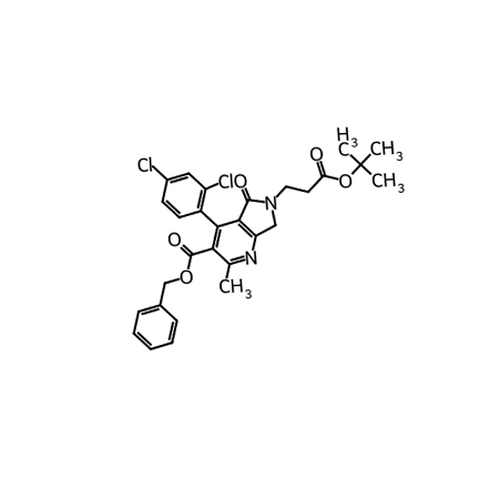 Cc1nc2c(c(-c3ccc(Cl)cc3Cl)c1C(=O)OCc1ccccc1)C(=O)N(CCC(=O)OC(C)(C)C)C2